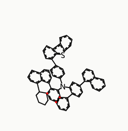 c1ccc(-c2ccc(-c3cccc4ccccc34)cc2N(c2ccc(-c3cccc4c3sc3ccccc34)cc2)c2ccccc2-c2cccc3cccc(C4CCCCC4)c23)cc1